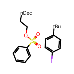 CC(C)(C)c1ccc(I)cc1.CCCCCCCCCCCCOS(=O)(=O)c1ccccc1